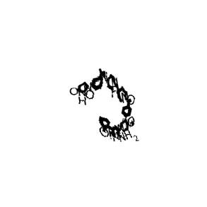 CO[C@@H]1CCN(c2cc(-c3ccccc3O)nnc2N)C[C@H]1c1ccc(C(=O)N2CCC(F)(CN3CCC(n4cc(C)c5cc(N6CCC(=O)NC6=O)ccc54)CC3)CC2)cc1